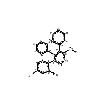 COc1nnc(-c2ccc(F)cc2F)c(-c2ccccc2)c1-c1ccccn1